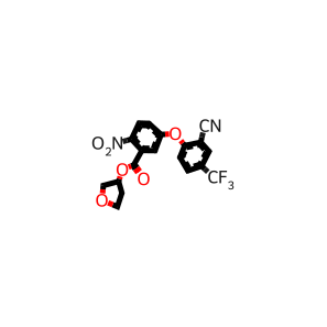 N#Cc1cc(C(F)(F)F)ccc1Oc1ccc([N+](=O)[O-])c(C(=O)OC2CCOC2)c1